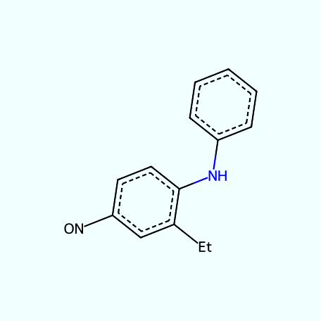 CCc1cc(N=O)ccc1Nc1ccccc1